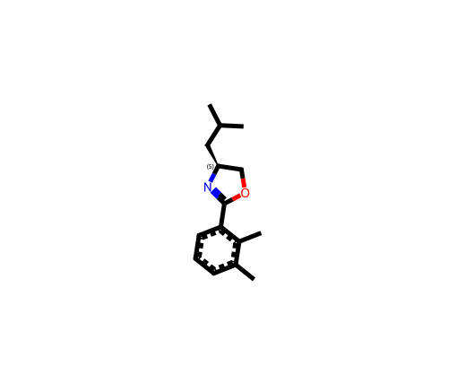 Cc1cccc(C2=N[C@@H](CC(C)C)CO2)c1C